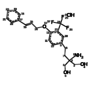 Cl.NC(CO)(CO)CCc1ccc(OCC=Cc2ccccc2)c(C(F)(F)F)c1